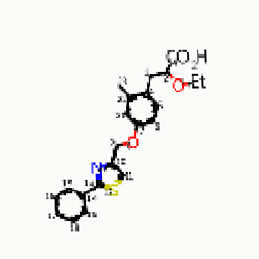 CCOC(Cc1ccc(OCc2csc(-c3ccccc3)n2)cc1C)C(=O)O